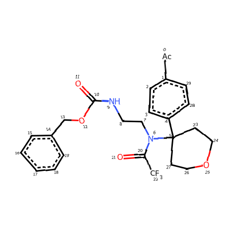 CC(=O)c1ccc(C2(N(CCNC(=O)OCc3ccccc3)C(=O)C(F)(F)F)CCOCC2)cc1